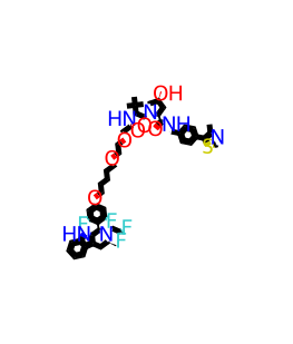 Cc1ncsc1-c1ccc(CNC(=O)[C@@H]2C[C@@H](O)CN2C(=O)[C@@H](NC(=O)COCCOCCCCCOc2cc(F)c([C@@H]3c4[nH]c5ccccc5c4C[C@@H](C)N3CC(F)F)c(F)c2)C(C)(C)C)cc1